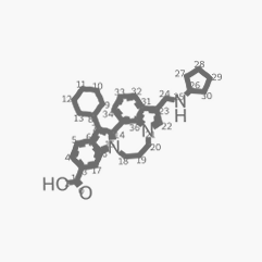 O=C(O)c1ccc2c(C3CCCCC3)c3n(c2c1)CCCn1cc(CNC2CCCC2)c2cccc-3c21